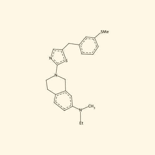 CCN(C)c1ccc2c(c1)CN(c1ncc(Cc3cccc(SC)c3)s1)CC2